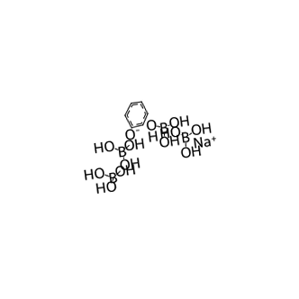 OB(O)O.OB(O)O.OB(O)O.OB(O)O.[Na+].[O-]c1ccccc1